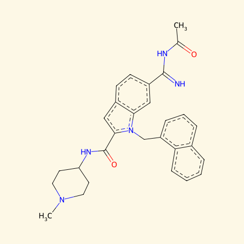 CC(=O)NC(=N)c1ccc2cc(C(=O)NC3CCN(C)CC3)n(Cc3cccc4ccccc34)c2c1